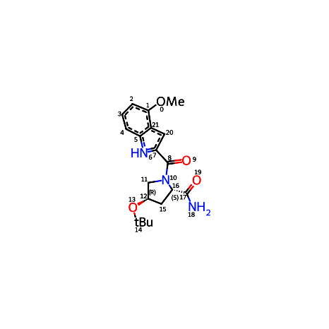 COc1cccc2[nH]c(C(=O)N3C[C@H](OC(C)(C)C)C[C@H]3C(N)=O)cc12